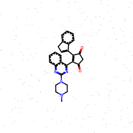 CN1CCN(c2nc(C3=C(C4=CCc5ccccc54)C(=O)CC3=O)c3ccccc3n2)CC1